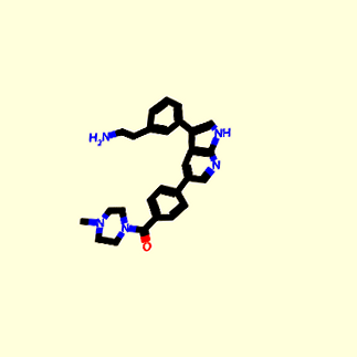 CN1CCN(C(=O)c2ccc(-c3cnc4[nH]cc(-c5cccc(CCN)c5)c4c3)cc2)CC1